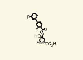 O=C(OC[C@@]1(O)CN[C@H](C(=O)O)C1)c1ccc(-c2cccc(F)c2)cc1F